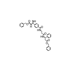 N=C(NC(=O)OCc1ccccc1)c1ccc(C(=O)NCCC(=O)NC(CC(=O)OCc2ccccc2)c2ccccc2)cc1